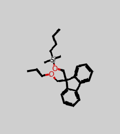 CCCC[Si](C)(C)OCC1(COCCC)c2ccccc2-c2ccccc21